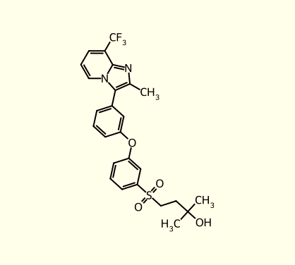 Cc1nc2c(C(F)(F)F)cccn2c1-c1cccc(Oc2cccc(S(=O)(=O)CCC(C)(C)O)c2)c1